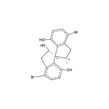 CCCC1Cc2c(Br)ccc(O)c2[C@]12c1c(O)ccc(Br)c1C[C@@H]2C